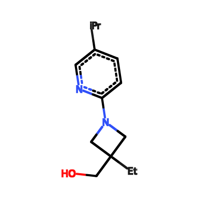 CCC1(CO)CN(c2ccc(C(C)C)cn2)C1